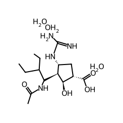 CCC(CC)C(NC(C)=O)[C@@H]1[C@H](O)[C@@H](C(=O)O)C[C@H]1NC(=N)N.O.O.O